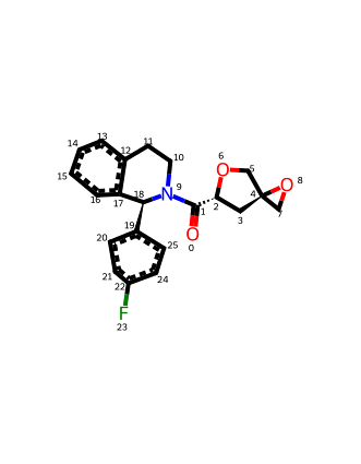 O=C([C@H]1C[C@]2(CO1)CO2)N1CCc2ccccc2[C@@H]1c1ccc(F)cc1